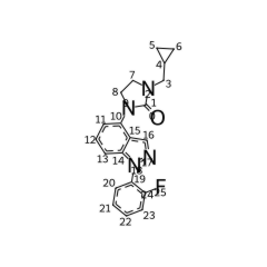 O=C1N(CC2CC2)CCN1c1cccc2c1cnn2-c1ccccc1F